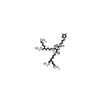 CCCCCC(CC)CCCCOC(=O)C(OC(=O)NCCCCN1CCCC1)C(=O)OCCCCC(CC)CCCC